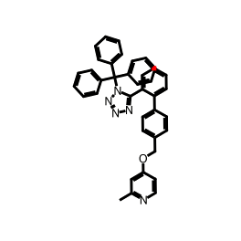 Cc1cc(OCc2ccc(-c3ccccc3-c3nnnn3C(c3ccccc3)(c3ccccc3)c3ccccc3)cc2)ccn1